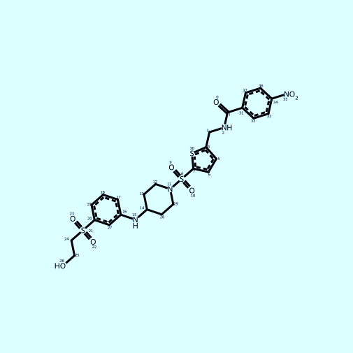 O=C(NCc1ccc(S(=O)(=O)N2CCC(Nc3cccc(S(=O)(=O)CCO)c3)CC2)s1)c1ccc([N+](=O)[O-])cc1